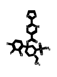 CCN1CCC(OC(=O)C2=CNC(c3nccs3)=NC2)(c2ccc(F)c(F)c2Cl)CC1S(N)(=O)=O